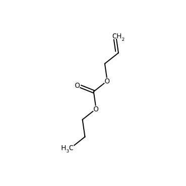 C=CCOC(=O)OCCC